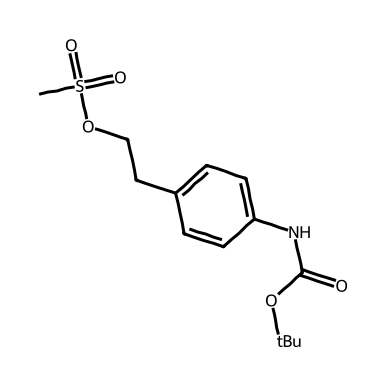 CC(C)(C)OC(=O)Nc1ccc(CCOS(C)(=O)=O)cc1